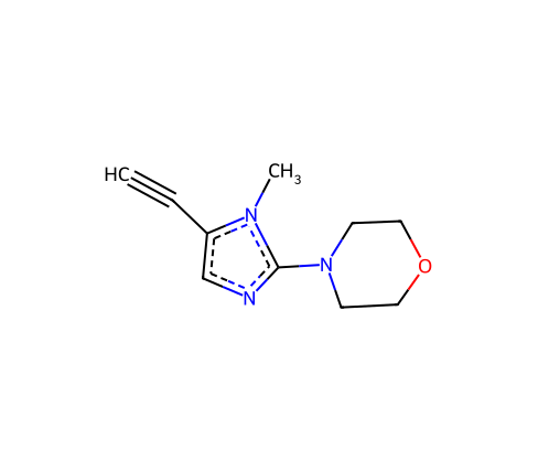 C#Cc1cnc(N2CCOCC2)n1C